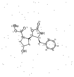 CC(C)(C)OC(=O)N1CC(O)CC1[C@H]1OC(=O)N[C@H]1Cc1ccccc1